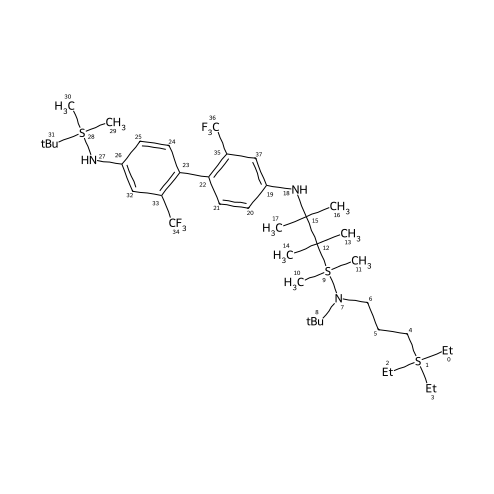 CCS(CC)(CC)CCCN(C(C)(C)C)S(C)(C)C(C)(C)C(C)(C)Nc1ccc(-c2ccc(NS(C)(C)C(C)(C)C)cc2C(F)(F)F)c(C(F)(F)F)c1